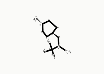 [2H]C([2H])([2H])N(C)C[C@H]1CC[C@H](N)CC1